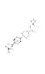 CC(=O)N(CC1(C)CCC1)C1CCN(C2CC3CCC2CN3c2nc(C)no2)CC1